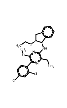 CCO[C@H]1Cc2ccccc2[C@H]1Nc1nc(OC)c(-c2ccc(Cl)cc2Cl)nc1CC